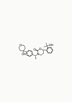 C[C@@H](c1ccc(C2(O)CCOCC2)cc1)N1CC[C@](CC(C)(C)O)(c2ccccc2)OC1=O